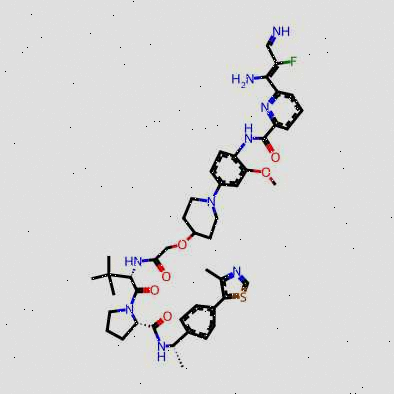 COc1cc(N2CCC(OCC(=O)N[C@H](C(=O)N3CCC[C@H]3C(=O)N[C@@H](C)c3ccc(-c4scnc4C)cc3)C(C)(C)C)CC2)ccc1NC(=O)c1cccc(/C(N)=C(\F)C=N)n1